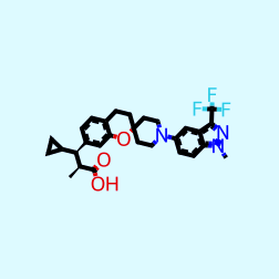 C[C@H](C(=O)O)[C@H](c1ccc2c(c1)OC1(CC2)CCN(c2ccc3c(c2)c(C(F)(F)F)nn3C)CC1)C1CC1